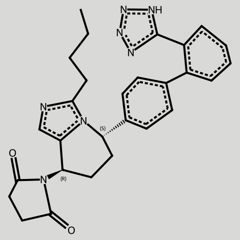 CCCCc1ncc2n1[C@H](c1ccc(-c3ccccc3-c3nnn[nH]3)cc1)CC[C@H]2N1C(=O)CCC1=O